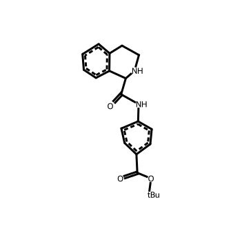 CC(C)(C)OC(=O)c1ccc(NC(=O)C2NCCc3ccccc32)cc1